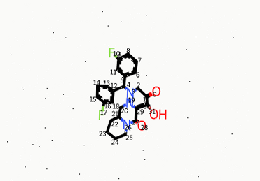 O=C1CN(C(c2cccc(F)c2)c2cccc(F)c2)N2CC3CCCCN3C(=O)C2=C1O